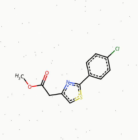 COC(=O)Cc1csc(-c2ccc(Cl)cc2)n1